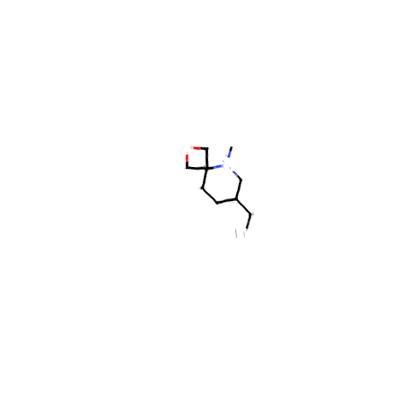 CC(C)CC1CCC2(COC2)N(C)C1